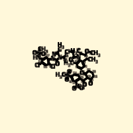 CCc1cccc(C)c1N(C(=O)CCl)C(C)COC.CS(=O)(=O)c1ccc(C(=O)C2C(=O)CCCC2=O)c([N+](=O)[O-])c1.Cc1nn(-c2cc(NS(C)(=O)=O)c(Cl)cc2Cl)c(=O)n1C(F)F